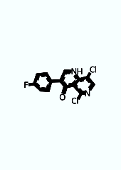 O=c1c(-c2ccc(F)cc2)c[nH]c2c(Cl)cnc(Cl)c12